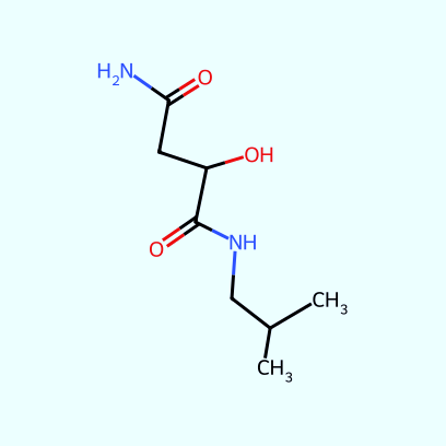 CC(C)CNC(=O)C(O)CC(N)=O